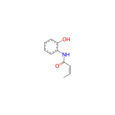 C/C=C\C(=O)Nc1ccccc1O